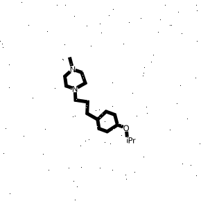 CC(C)OC1CCC(CCCN2CCN(C)CC2)CC1